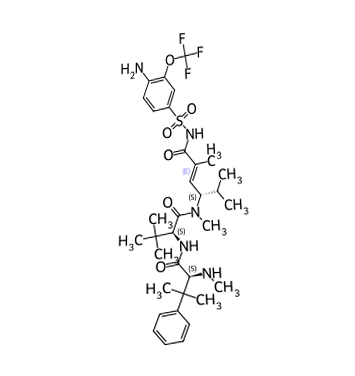 CN[C@H](C(=O)N[C@H](C(=O)N(C)[C@H](/C=C(\C)C(=O)NS(=O)(=O)c1ccc(N)c(OC(F)(F)F)c1)C(C)C)C(C)(C)C)C(C)(C)c1ccccc1